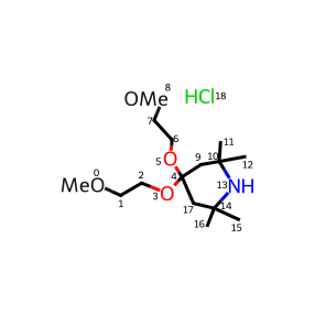 COCCOC1(OCCOC)CC(C)(C)NC(C)(C)C1.Cl